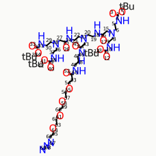 CC(C)(C)OC(=O)NCCN(CCNC(=O)OC(C)(C)C)CC(=O)NCCN(CCNC(=O)CN(CCNC(=O)OC(C)(C)C)CCNC(=O)OC(C)(C)C)CC(=O)NCCCNC(=O)CCOCCOCCOCCOCCN=[N+]=[N-]